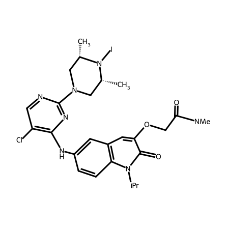 CNC(=O)COc1cc2cc(Nc3nc(N4C[C@@H](C)N(I)[C@@H](C)C4)ncc3Cl)ccc2n(C(C)C)c1=O